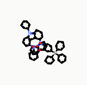 c1ccc(-n2c3cccc(-n4c5ccccc5c5ccccc54)c3c3c(-n4c5ccccc5c5cc([Si](c6ccccc6)(c6ccccc6)c6ccccc6)ccc54)cccc32)cc1